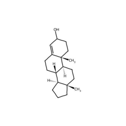 C[C@@]12CCC[C@H]1[C@@H]1CCC3=CC(O)CC[C@]3(C)[C@H]1CC2